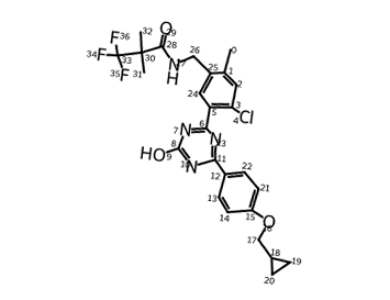 Cc1cc(Cl)c(-c2nc(O)nc(-c3ccc(OCC4CC4)cc3)n2)cc1CNC(=O)C(C)(C)C(F)(F)F